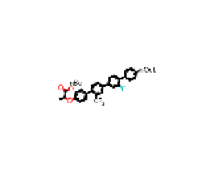 CCCCCCCCc1ccc(-c2ccc(-c3ccc(-c4ccc(OC(C)C(=O)OCCCC)cc4)c(C(F)(F)F)c3)cc2F)cc1